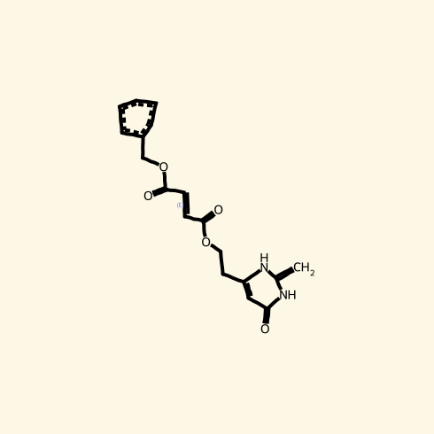 C=C1NC(=O)C=C(CCOC(=O)/C=C/C(=O)OCc2ccccc2)N1